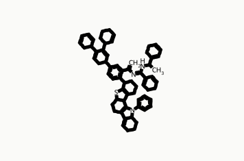 C=C(/N=C(\NC(C)C1=CC=CCC1)C1=CCCC=C1)c1cc(C2C=C(C3C=CCCC3)C(C3C=CC=CC3)=CC2)ccc1C1CCCC2=C1SC1CCC3=C(C21)N(c1ccccc1)C1CCCC=C31